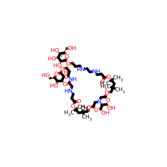 CC(C)(COC(=O)CN(CC(=O)OCC(C)(C)CC(C)(C)OC(=O)CCNCCNCCCOC1O[C@@H](CO)[C@@H](O)[C@@H](O)[C@H]1O)C(CO)CO)CC(C)(C)OC(=O)CCNCCNCCCOC1O[C@H](CO)[C@H](O)[C@H](O)[C@@H]1O